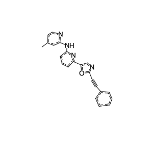 Cc1ccnc(Nc2cccc(-c3cnc(C#Cc4ccccc4)o3)n2)c1